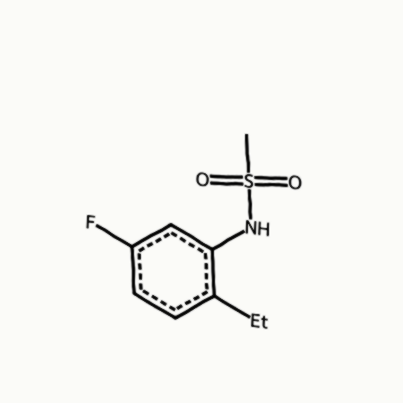 CCc1ccc(F)cc1NS(C)(=O)=O